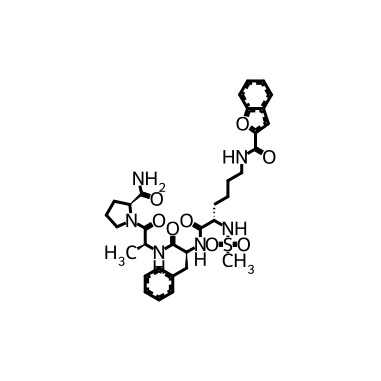 C[C@H](NC(=O)[C@H](Cc1ccccc1)NC(=O)[C@H](CCCCNC(=O)c1cc2ccccc2o1)NS(C)(=O)=O)C(=O)N1CCC[C@H]1C(N)=O